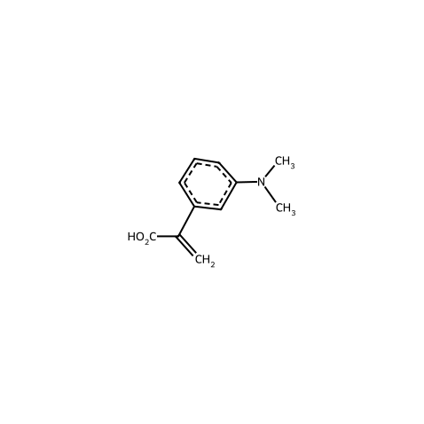 C=C(C(=O)O)c1cccc(N(C)C)c1